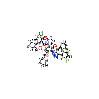 O=C1CCCC2(O[C@H](COCc3ccccc3)[C@H](OCc3ccccc3)[C@H](n3cc(-c4cc(F)c(F)c(F)c4)nn3)[C@H]2OCc2ccccc2)N1Cc1cccc(Cl)c1